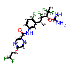 C[C@@H](c1cc(NC(=O)c2cnc(OCC(F)F)cn2)ccc1F)[C@@H](F)[C@H](OC(=N)N)C(C)(F)F